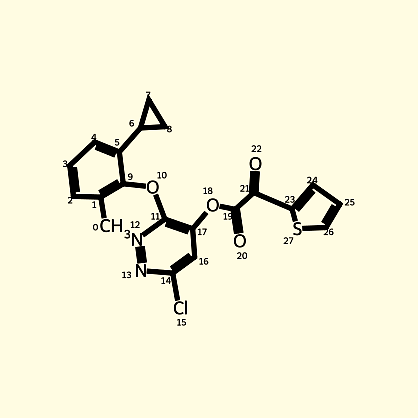 Cc1cccc(C2CC2)c1Oc1nnc(Cl)cc1OC(=O)C(=O)c1cccs1